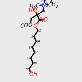 C[N+](C)(C)CC(O)(CC(=O)[O-])C(=O)OCCCCCCCCO